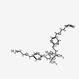 C[Si](C)(CSc1ncc(COCCN)cn1)O[Si](C)(C)CSc1ncc(COCCN=[N+]=[N-])cn1